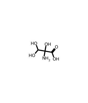 NC(O)(C(=O)O)C(O)O